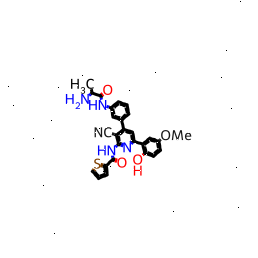 COc1ccc(O)c(-c2cc(-c3cccc(NC(=O)C(C)N)c3)c(C#N)c(NC(=O)c3cccs3)n2)c1